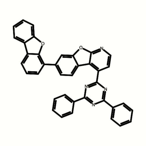 c1ccc(-c2nc(-c3ccccc3)nc(-c3ccnc4oc5cc(-c6cccc7c6oc6ccccc67)ccc5c34)n2)cc1